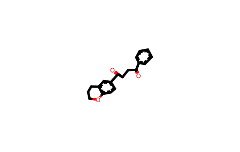 O=C(CCC(=O)c1ccc2c(c1)CCCO2)c1ccccc1